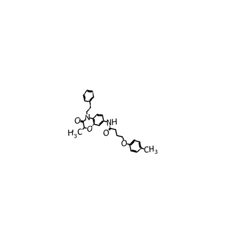 Cc1ccc(OCCCC(=O)Nc2ccc3c(c2)OC(C)C(=O)N3CCc2ccccc2)cc1